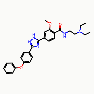 CCN(CC)CCNC(=O)c1ccc(-c2nc(-c3ccc(Oc4ccccc4)cc3)n[nH]2)cc1OC